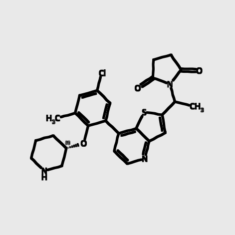 Cc1cc(Cl)cc(-c2ccnc3cc(C(C)N4C(=O)CCC4=O)sc23)c1O[C@H]1CCCNC1